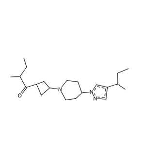 CCC(C)C(=O)C1CC(N2CCC(n3cc(C(C)CC)cn3)CC2)C1